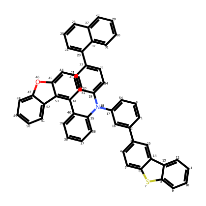 c1cc(-c2ccc3sc4ccccc4c3c2)cc(N(c2ccc(-c3cccc4ccccc34)cc2)c2ccccc2-c2cccc3oc4ccccc4c23)c1